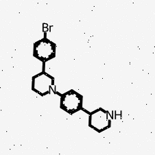 Brc1ccc(C2CCCN(c3ccc(C4CCCNC4)cc3)C2)cc1